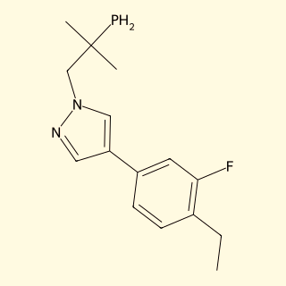 CCc1ccc(-c2cnn(CC(C)(C)P)c2)cc1F